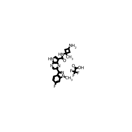 Cn1nc(-c2cnc3[nH]cc(C(=O)NC4(C)CC(N)C4)c3n2)c2ccc(F)cc21.O=C(O)C(F)(F)F